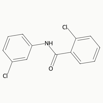 O=C(Nc1cccc(Cl)c1)c1ccccc1Cl